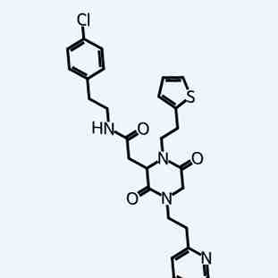 O=C(CC1C(=O)N(CCc2ccccn2)CC(=O)N1CCc1cccs1)NCCc1ccc(Cl)cc1